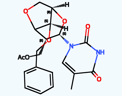 CC(=O)OC[C@@H]1C2OC[C@@H](O[C@@H]1n1cc(C)c(=O)[nH]c1=O)[C@H]2OCc1ccccc1